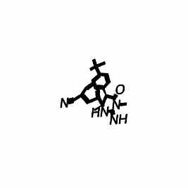 CN1C(=N)N[C@](C)(c2cccc(C#N)c2)[C@@H](c2ccc(C(C)(C)C)cc2)C1=O